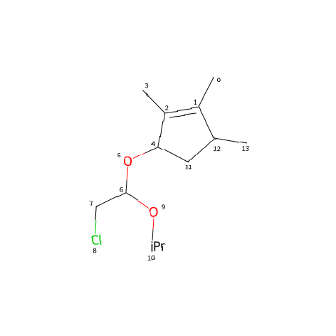 CC1=C(C)C(OC(CCl)OC(C)C)CC1C